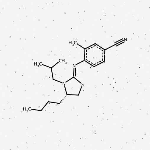 CCCC[C@H]1CSC(=Nc2ccc(C#N)cc2C)N1CC(C)C